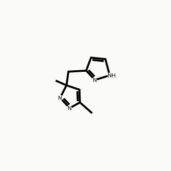 CC1=CC(C)(Cc2cc[nH]n2)N=N1